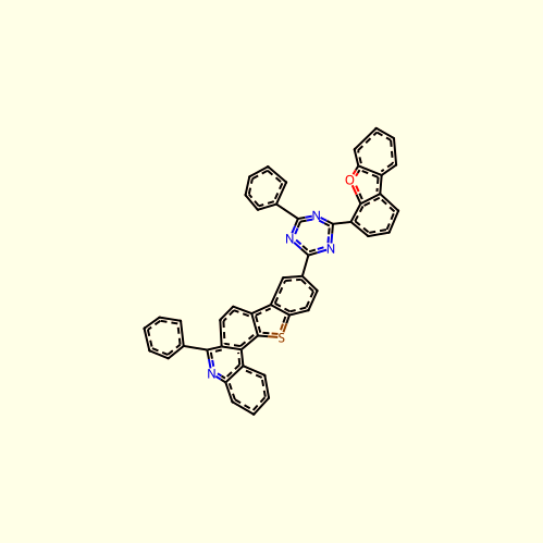 c1ccc(-c2nc(-c3ccc4sc5c(ccc6c(-c7ccccc7)nc7ccccc7c65)c4c3)nc(-c3cccc4c3oc3ccccc34)n2)cc1